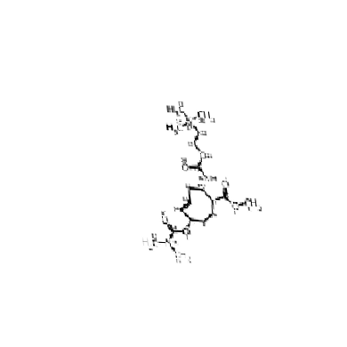 COC(=O)[C@H]1CC[C@@H](OC(=O)N(C)C)/C=C/C[C@@H]1NC(=O)OCC[Si](C)(C)C